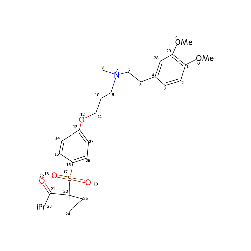 COc1ccc(CCN(C)CCCOc2ccc(S(=O)(=O)C3(C(=O)C(C)C)CC3)cc2)cc1OC